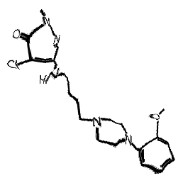 COc1ccccc1N1CCN(CCCCNc2cnn(C)c(=O)c2Cl)CC1